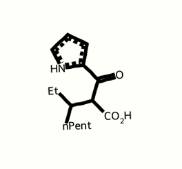 CCCCCC(CC)C(C(=O)O)C(=O)c1ccc[nH]1